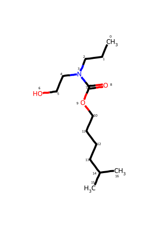 CCCN(CCO)C(=O)OCCCCC(C)C